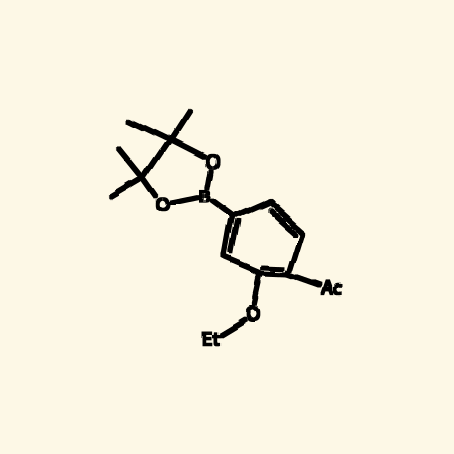 CCOc1cc(B2OC(C)(C)C(C)(C)O2)ccc1C(C)=O